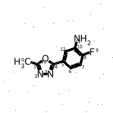 Cc1nnc(-c2ccc(F)c(N)c2)o1